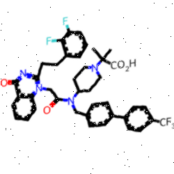 CC(C)(C(=O)O)N1CCC(N(Cc2ccc(-c3ccc(C(F)(F)F)cc3)cc2)C(=O)Cn2c(CCc3cccc(F)c3F)nc(=O)c3ccccc32)CC1